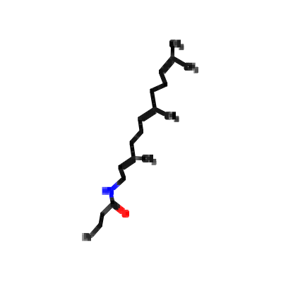 CC(C)=CCC/C(C)=C/CC/C(C)=C/CNC(=O)CCC(C)C